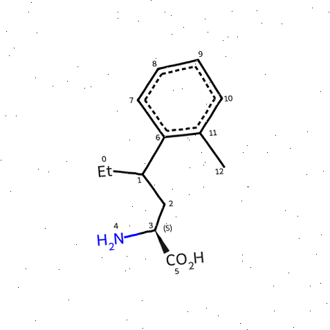 CCC(C[C@H](N)C(=O)O)c1ccccc1C